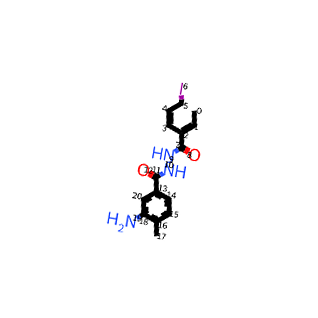 C/C=C(\C=C/CI)C(=O)NNC(=O)c1ccc(C)c(N)c1